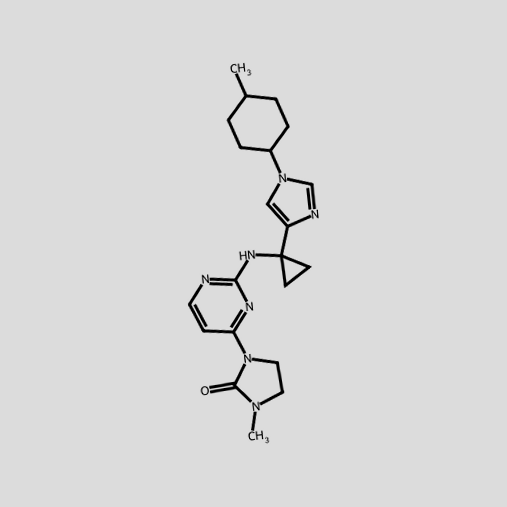 CC1CCC(n2cnc(C3(Nc4nccc(N5CCN(C)C5=O)n4)CC3)c2)CC1